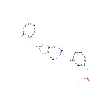 CCn1c(Nc2ccccc2Cl)nc2cnc(Oc3c(F)cc(NC(=O)OC(C)(C)C)cc3F)nc21